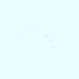 C=C(C)Cn1ccc2c(CCC)c(OCc3cccc(-c4cccc(C(=O)O)c4)c3)ccc21